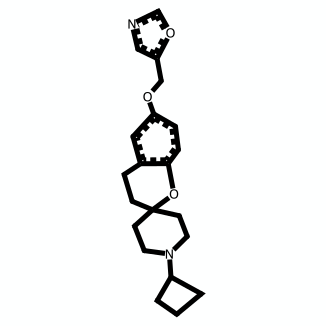 c1ncc(COc2ccc3c(c2)CCC2(CCN(C4CCC4)CC2)O3)o1